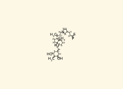 C=C1[C@H](O)CC(=CC=C2CCC[C@]3(C)[C@@H](C(C)CCN4CCC(CCC(F)F)C4)CC[C@@H]23)C[C@H]1O